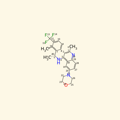 Cc1cc(N[C@H](C)c2cccc(C(F)(F)F)c2C)c2cc(N3CCOCC3)ccc2n1